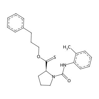 Cc1ccccc1NC(=O)N1CCC[C@H]1C(=S)OCCCc1ccccc1